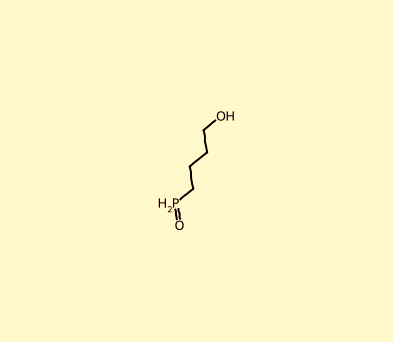 O=[PH2]CCCCO